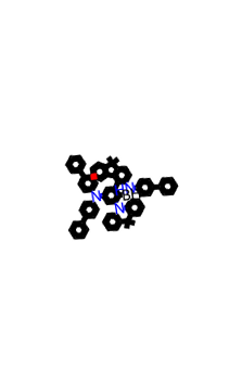 CC1(C)c2ccccc2-c2c1ccc(Nc1ccc(-c3ccccc3)cc1)c2-c1cc(N(c2ccc(-c3ccccc3)cc2)c2ccc(-c3ccccc3)cc2)cc2c1Bc1cccc3c1N2c1ccccc1C3(C)C